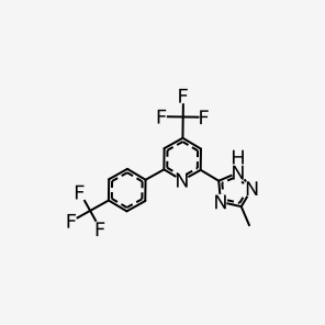 Cc1n[nH]c(-c2cc(C(F)(F)F)cc(-c3ccc(C(F)(F)F)cc3)n2)n1